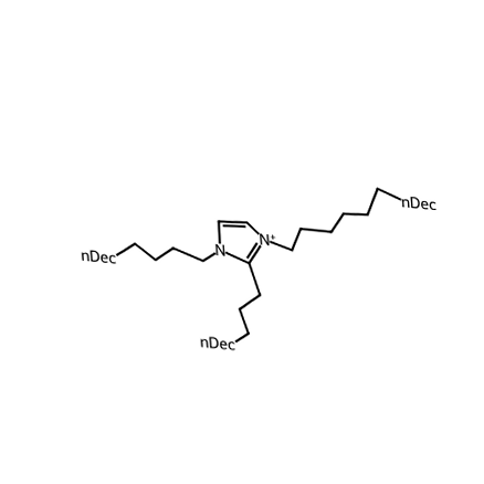 CCCCCCCCCCCCCCCC[n+]1ccn(CCCCCCCCCCCCCC)c1CCCCCCCCCCCCC